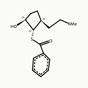 CNCC[C@@H]1CC[C@H](O)[C@H]1SC(=O)c1ccccc1